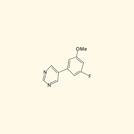 COc1cc(F)cc(-c2cncnc2)c1